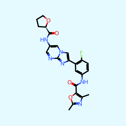 Cc1nc(C)c(C(=O)Nc2ccc(F)c(-c3cn4cc(NC(=O)[C@H]5CCCO5)cnc4n3)c2)o1